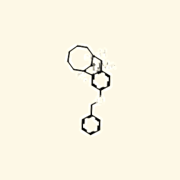 CN[C@H]1[C@H]2CCCCC[C@]1(C)c1cc(OCc3ccccc3)ccc1C2